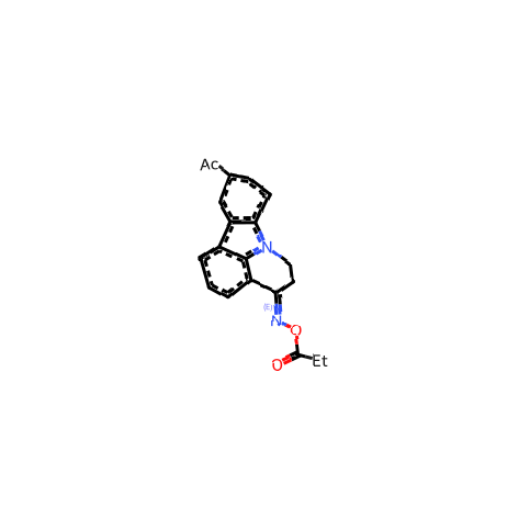 CCC(=O)O/N=C1\CCn2c3ccc(C(C)=O)cc3c3cccc1c32